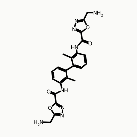 Cc1c(NC(=O)c2nnc(CN)o2)cccc1-c1cccc(NC(=O)c2nnc(CN)o2)c1C